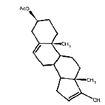 CC(=O)O[C@H]1CC[C@@]2(C)C(=CCC3C2CC[C@]2(C)C(O)=CCC32)C1